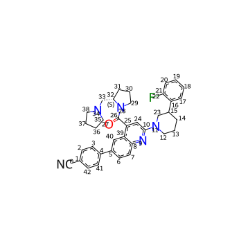 N#Cc1ccc(-c2ccc3nc(N4CCCC(c5ccccc5F)C4)cc(C(=O)N4CCC[C@H]4CN4CCCC4)c3c2)cc1